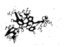 Cc1nn(CC(F)(F)F)c2c(-c3c([C@H](Cc4cc(F)cc(F)c4)NC(=O)Cn4nc(C(F)(F)F)c5c4C(F)(F)[C@@H]4C[C@H]54)nc(C#CC(C)(C)S(C)(=O)=O)c4c3CCC4)ccc(Cl)c12